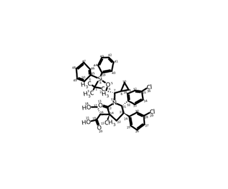 CC(C)(C)[Si](OC[C@H](C1CC1)N1C(=O)[C@@](C)([C@@H](CO)C(=O)O)C[C@H](c2cccc(Cl)c2)[C@H]1c1ccc(Cl)cc1)(c1ccccc1)c1ccccc1